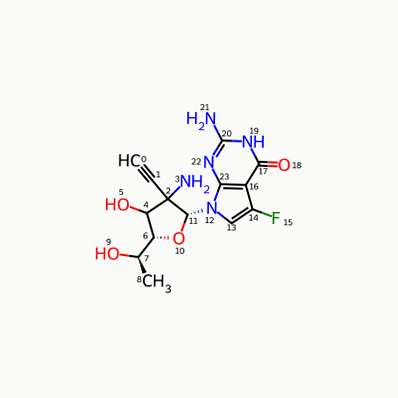 C#CC1(N)C(O)[C@@H]([C@@H](C)O)O[C@H]1n1cc(F)c2c(=O)[nH]c(N)nc21